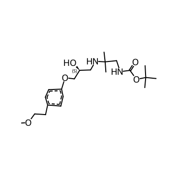 COCCc1ccc(OC[C@@H](O)CNC(C)(C)CNC(=O)OC(C)(C)C)cc1